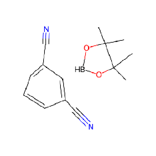 CC1(C)OBOC1(C)C.N#Cc1cccc(C#N)c1